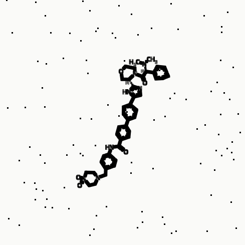 CN(C)[C@@H](C(=O)N1CCOC[C@H]1c1ncc(-c2ccc(-c3ccc(C(=O)Nc4ccc(CN5CCS(=O)(=O)CC5)cc4)cc3)cc2)[nH]1)c1ccccc1